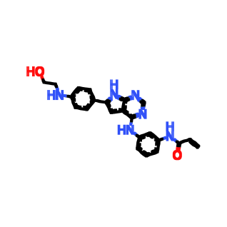 C=CC(=O)Nc1cccc(Nc2ncnc3[nH]c(-c4ccc(NCCO)cc4)cc23)c1